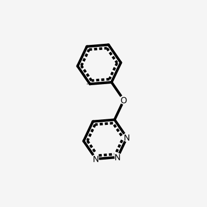 [c]1ccccc1Oc1ccnnn1